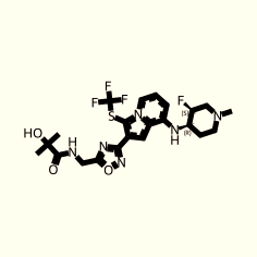 CN1CC[C@@H](Nc2cccn3c(SC(F)(F)F)c(-c4noc(CNC(=O)C(C)(C)O)n4)cc23)[C@@H](F)C1